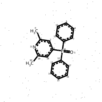 Cc1cc(P(=O)(c2ccccc2)c2ccccc2)cc(C)n1